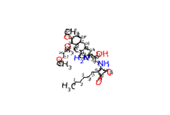 CCCCCCc1c(NC[C@H](O)[C@@H](N)C[C@H](Cc2ccc(OC)c(OCCCOC)c2)C(C)C)c(=O)c1=O